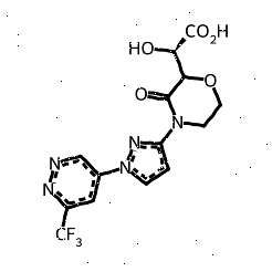 O=C(O)[C@H](O)C1OCCN(c2ccn(-c3cnnc(C(F)(F)F)c3)n2)C1=O